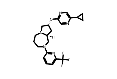 FC(F)(F)c1cccc(N2CCCN3C[C@H](Oc4cnc(C5CC5)cn4)C[C@H]3C2)n1